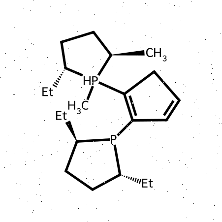 CC[C@@H]1CC[C@@H](CC)P1C1=C([PH]2(C)[C@H](CC)CC[C@H]2C)CC=C1